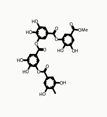 COC(=O)c1cc(O)c(O)c(OC(=O)c2cc(O)c(O)c(OC(=O)c3cc(O)c(O)c(OC(=O)c4cc(O)c(C)c(O)c4)c3)c2)c1